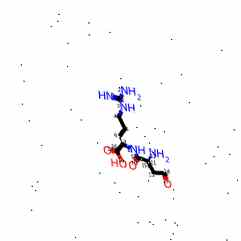 N=C(N)NCCC[C@H](NC(=O)[C@@H](N)C[C]=O)C(=O)O